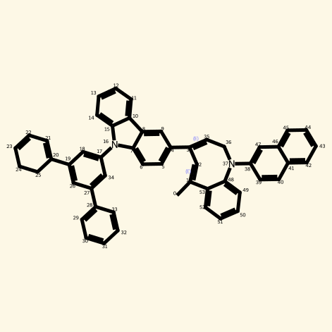 C/C1=C\C(c2ccc3c(c2)c2ccccc2n3-c2cc(C3=CC=CCC3)cc(-c3ccccc3)c2)=C/CN(c2ccc3ccccc3c2)c2ccccc21